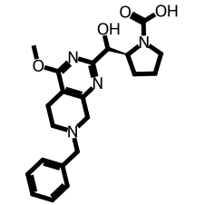 COc1nc(C(O)[C@@H]2CCCN2C(=O)O)nc2c1CCN(Cc1ccccc1)C2